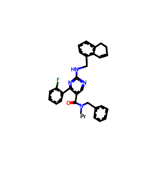 CC(C)N(Cc1ccccc1)C(=O)c1cnc(NCc2cccc3c2C=CCC3)nc1-c1ccccc1F